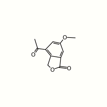 COc1cc(C(C)=O)c2c(c1)C(=O)OC2